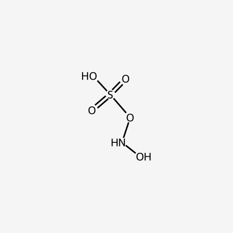 O=S(=O)(O)ONO